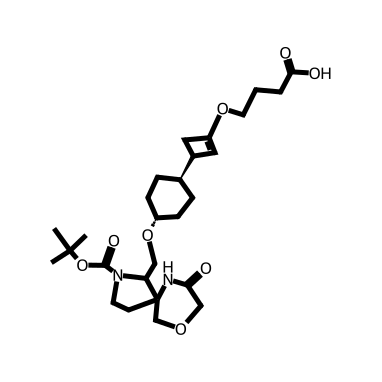 CC(C)(C)OC(=O)N1CCC2(COCC(=O)N2)C1CO[C@H]1CC[C@H](C2C=C(OCCCC(=O)O)C2)CC1